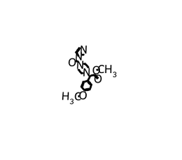 COC(=O)C(c1ccc(OC)cc1)N1CCN(C(=O)n2ccnc2)CC1